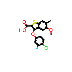 COc1cc2c(Oc3ccc(Cl)c(F)c3)c(C(=O)O)sc2cc1C